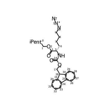 CCCC(C)COC(=O)[C@H](CCCCN=[N+]=[N-])NC(=O)OCC1c2ccccc2-c2ccccc21